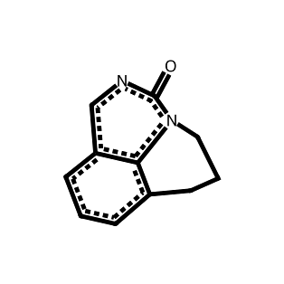 O=c1ncc2cccc3c2n1CCC3